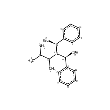 CC(N)C(C)N([C@H](c1ccccc1)C(C)(C)C)[C@H](c1ccccc1)C(C)(C)C